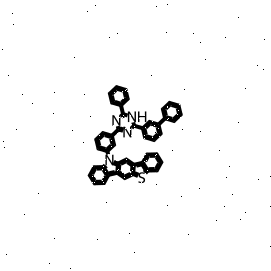 c1ccc(C2=NC(c3cccc(-n4c5ccccc5c5cc6sc7ccccc7c6cc54)c3)=NC(c3cccc(-c4ccccc4)c3)N2)cc1